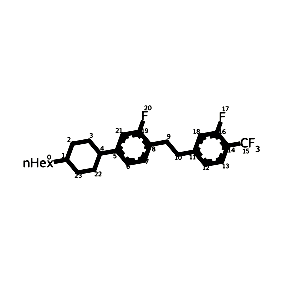 CCCCCCC1CCC(c2ccc(CCc3ccc(C(F)(F)F)c(F)c3)c(F)c2)CC1